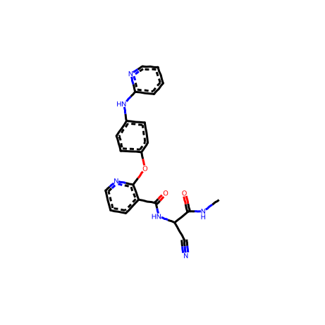 CNC(=O)C(C#N)NC(=O)c1cccnc1Oc1ccc(Nc2ccccn2)cc1